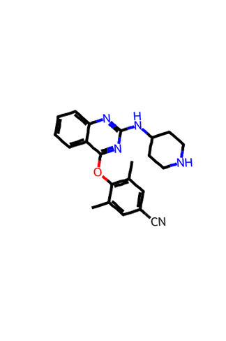 Cc1cc(C#N)cc(C)c1Oc1nc(NC2CCNCC2)nc2ccccc12